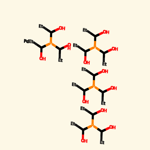 CCC(O)P(C(O)CC)C(O)CC.CCC(O)P(C(O)CC)C(O)CC.CCC(O)P(C(O)CC)C(O)CC.CCC(O)P(C(O)CC)C(O)CC.[Pd]